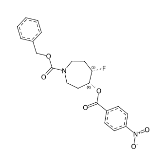 O=C(O[C@@H]1CCN(C(=O)OCc2ccccc2)CC[C@@H]1F)c1ccc([N+](=O)[O-])cc1